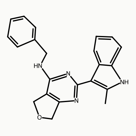 Cc1[nH]c2ccccc2c1-c1nc2c(c(NCc3ccccc3)n1)COC2